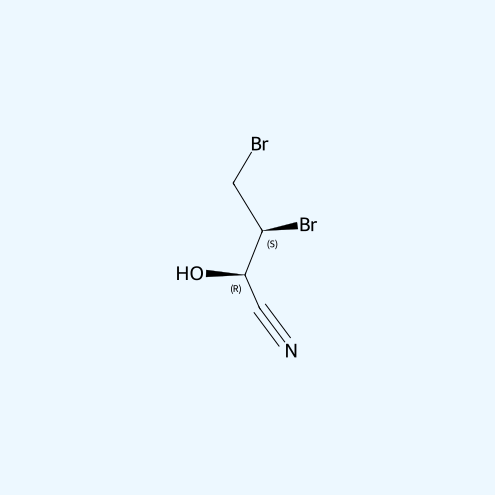 N#C[C@@H](O)[C@H](Br)CBr